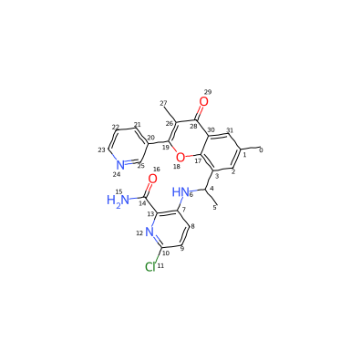 Cc1cc(C(C)Nc2ccc(Cl)nc2C(N)=O)c2oc(-c3cccnc3)c(C)c(=O)c2c1